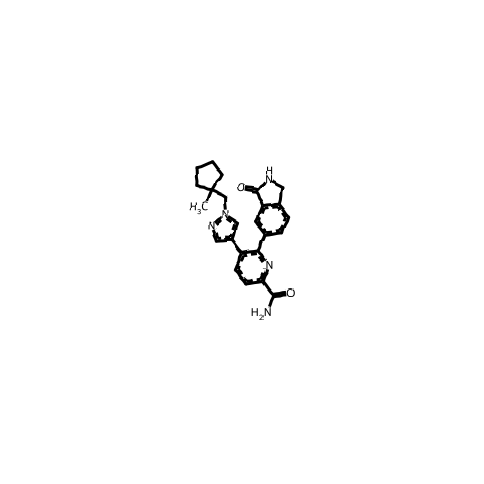 CC1(Cn2cc(-c3ccc(C(N)=O)nc3-c3ccc4c(c3)C(=O)NC4)cn2)CCCC1